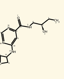 CC[C@@H](O)CNC(=O)c1cc(NC2COC2)ncn1